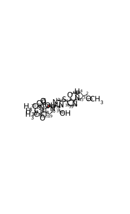 COCC1C[C@H]2COc3c(Sc4cnc(N5CCC6(CC5)CO[C@@H](C)[C@H]6N(C(=O)O)C(C)(C)C)c(CO)n4)ccnc3N2C1